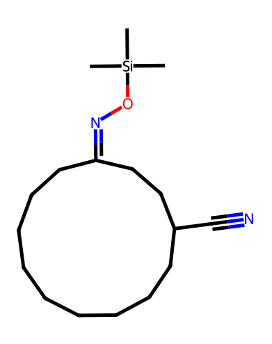 C[Si](C)(C)ON=C1CCCCCCCCCC(C#N)CC1